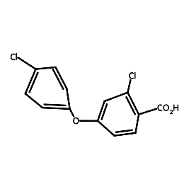 O=C(O)c1ccc(Oc2ccc(Cl)cc2)cc1Cl